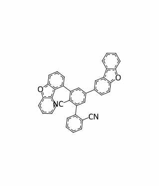 N#Cc1ccccc1-c1cc(-c2ccc3oc4ccccc4c3c2)cc(-c2cccc3oc4ccccc4c23)c1C#N